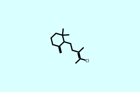 C=C1CCCC(C)(C)C1CC/C(C)=C(\C)Cl